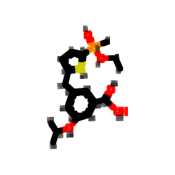 CCOP(C)(=O)c1ccc(Cc2cc(OC(C)C)cc(C(=O)O)c2)s1